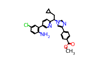 COC(=O)c1ccc(-c2cn(C(CC3CC3)c3ccc(-c4cc(Cl)ccc4N)cn3)cn2)cc1